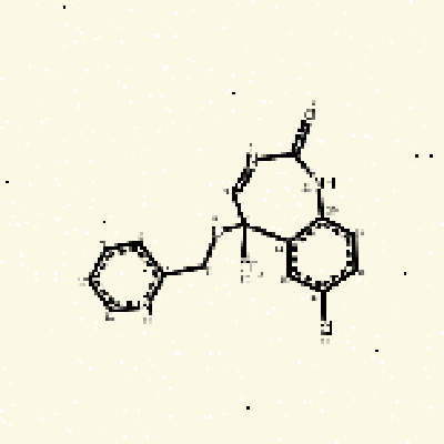 O=C1N=C[C@](OCc2ccccn2)(C(F)(F)F)c2cc(Cl)ccc2N1